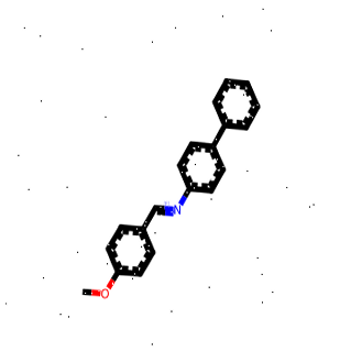 COc1ccc(/C=N/c2ccc(-c3ccccc3)cc2)cc1